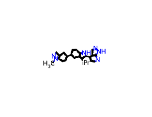 CC(C)c1c(-c2ccnc3[nH]ncc23)[nH]c2ccc(-c3ccc4c(cnn4C)c3)cc12